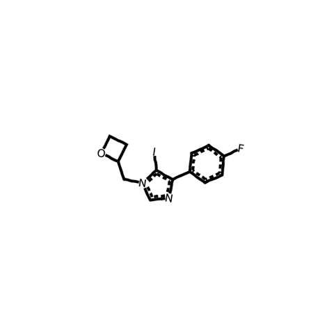 Fc1ccc(-c2ncn(CC3CCO3)c2I)cc1